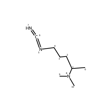 CC(CCCN=C=N)N(C)C